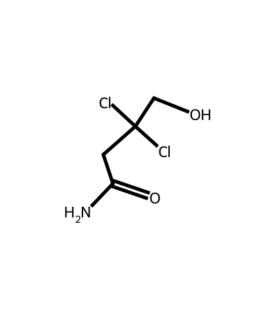 NC(=O)CC(Cl)(Cl)CO